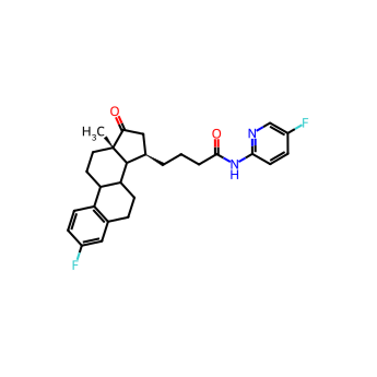 C[C@]12CCC3c4ccc(F)cc4CCC3C1[C@H](CCCC(=O)Nc1ccc(F)cn1)CC2=O